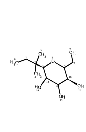 CCC(C)(C)[C@H]1OC(CO)[C@@H](O)C(O)C1O